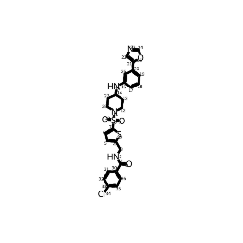 O=C(NCc1ccc(S(=O)(=O)N2CCC(Nc3cccc(-c4cnco4)c3)CC2)s1)c1ccc(Cl)cc1